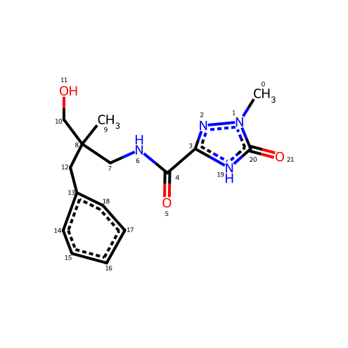 Cn1nc(C(=O)NCC(C)(CO)Cc2ccccc2)[nH]c1=O